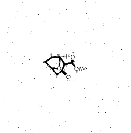 COC(=O)C1C(=O)CC2CC[C@@H]1O2